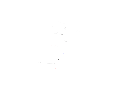 COC(=O)C(C)(NC(=O)C(Cl)c1ccccc1OC)C(C)C